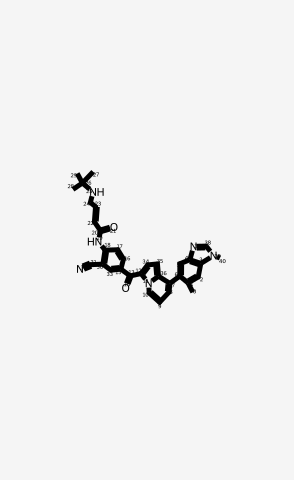 Cc1cc2c(cc1-c1cccn3c(C(=O)c4ccc(NC(=O)/C=C/CNC(C)(C)C)c(C#N)c4)ccc13)ncn2C